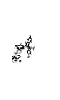 COC(=O)COc1cccc(-c2nc(Nc3ccc(Br)cc3)c3cnccc3n2)c1